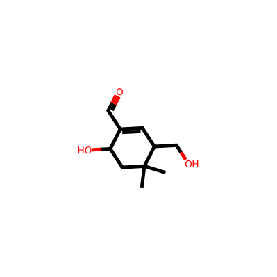 CC1(C)CC(O)C(C=O)=CC1CO